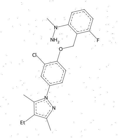 CCc1c(C)nn(-c2ccc(OCc3c(F)cccc3N(C)N)c(Cl)c2)c1C